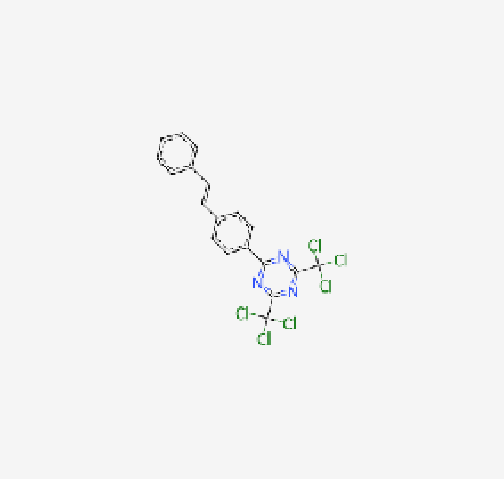 ClC(Cl)(Cl)c1nc(-c2ccc(C=Cc3ccccc3)cc2)nc(C(Cl)(Cl)Cl)n1